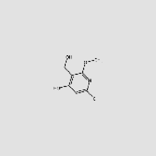 COc1nc(Cl)cc(O)c1CO